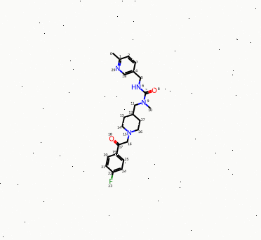 Cc1ccc(CNC(=O)N(C)CC2CCN(CC(=O)c3ccc(F)cc3)CC2)cn1